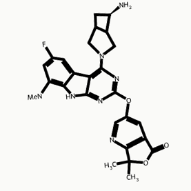 CNc1cc(F)cc2c1[nH]c1nc(Oc3cnc4c(c3)C(=O)OC4(C)C)nc(N3CC4C[C@@H](N)C4C3)c12